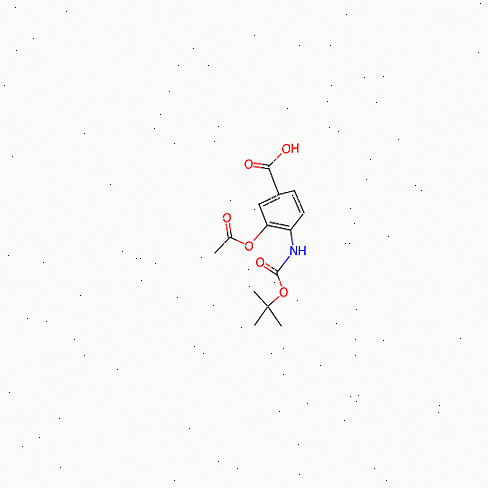 CC(=O)Oc1cc(C(=O)O)ccc1NC(=O)OC(C)(C)C